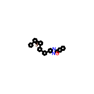 c1ccc(-c2cccc3c2sc2c(-c4cccc(-c5cccc(-c6ccc7nc8c(nc7c6)oc6cc7ccccc7cc68)c5)c4)cccc23)cc1